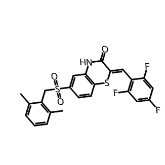 Cc1cccc(C)c1CS(=O)(=O)c1ccc2c(c1)NC(=O)/C(=C/c1c(F)cc(F)cc1F)S2